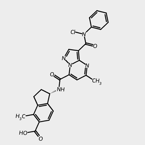 Cc1cc(C(=O)N[C@H]2CCc3c2ccc(C(=O)O)c3C)n2ncc(C(=O)N(Cl)c3ccccc3)c2n1